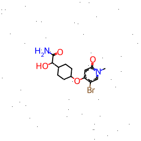 Cn1cc(Br)c(OC2CCC(C(O)C(N)=O)CC2)cc1=O